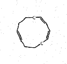 [C]1=CCCCC=CC=CCCC1